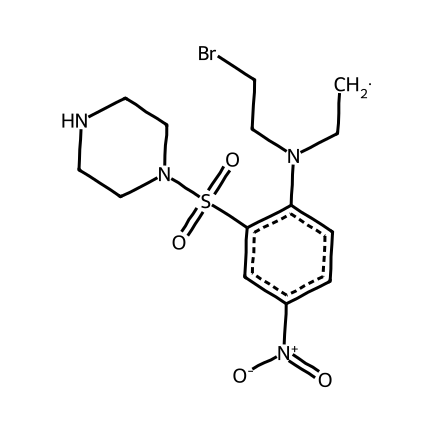 [CH2]CN(CCBr)c1ccc([N+](=O)[O-])cc1S(=O)(=O)N1CCNCC1